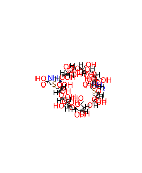 N[C@H](CSCC1O[C@@H]2O[C@@H]3C(CO)O[C@@H](O[C@H]4C(CO)O[C@@H](O[C@H]5C(CSC[C@@H](N)C(=O)O)O[C@@H](O[C@H]6C(CO)O[C@H](O[C@@H]7C(CO)O[C@H](O[C@@H]8C(CO)O[C@H](O[C@H]1[C@H](O)C2O)C(O)[C@H]8O)C(O)[C@H]7O)C(O)[C@H]6O)C(O)[C@H]5O)C(O)[C@H]4O)C(O)[C@H]3O)C(=O)O